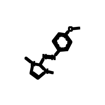 COc1ccc(N=NC2N(C)C=CN2C)cc1